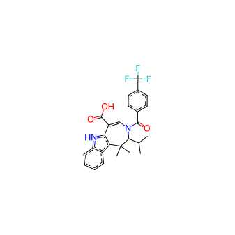 CC(C)C1N(C(=O)c2ccc(C(F)(F)F)cc2)C=C(C(=O)O)c2[nH]c3ccccc3c2C1(C)C